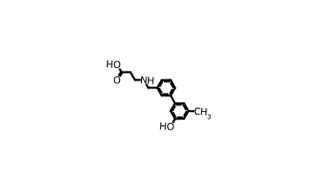 Cc1cc(O)cc(-c2cccc(CNCCC(=O)O)c2)c1